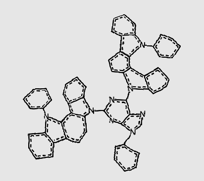 c1ccc(-n2cnc3c(-n4c5ccccc5c5c4ccc4c6ccccc6n(-c6ccccc6)c45)nc(-n4c5ccccc5c5c4ccc4c6ccccc6n(-c6ccccc6)c45)nc32)cc1